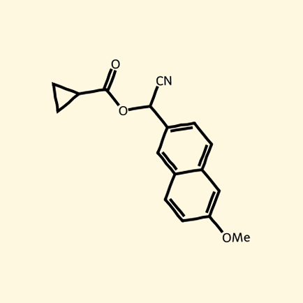 COc1ccc2cc(C(C#N)OC(=O)C3CC3)ccc2c1